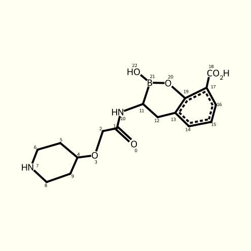 O=C(COC1CCNCC1)NC1Cc2cccc(C(=O)O)c2OB1O